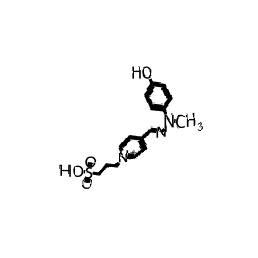 CN(N=Cc1cc[n+](CCCS(=O)(=O)O)cc1)c1ccc(O)cc1